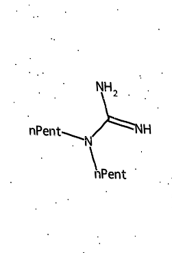 CCCCCN(CCCCC)C(=N)N